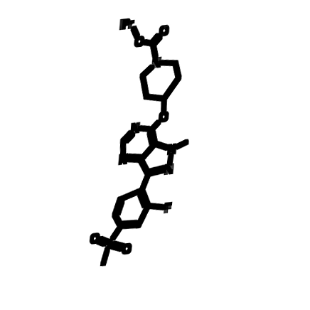 CC(C)OC(=O)N1CCC(Oc2ncnc3c(-c4ccc(S(C)(=O)=O)cc4F)nn(C)c23)CC1